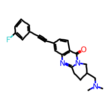 CN(C)CC1CCc2nc3cc(C#Cc4cccc(F)c4)ccc3c(=O)n2C1